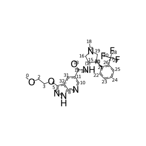 COCCOc1n[nH]c2ncc(C(=O)N[C@@H]3CN(C)C[C@H]3c3ccccc3C(F)(F)F)cc12